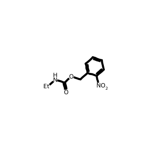 CCNC(=O)OCc1ccccc1[N+](=O)[O-]